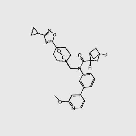 COc1cc(-c2cccc(N(CC34CCC(c5nc(C6CC6)no5)(CC3)OC4)C(=O)[C@H]3CC4(F)CC3C4)c2)ccn1